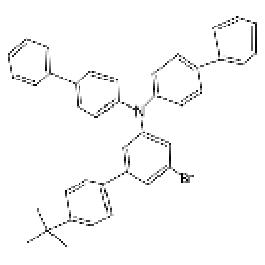 CC(C)(C)c1ccc(-c2cc(Br)cc(N(c3ccc(-c4ccccc4)cc3)c3ccc(-c4ccccc4)cc3)c2)cc1